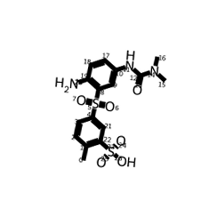 Cc1ccc(S(=O)(=O)c2cc(NC(=O)N(C)C)ccc2N)cc1S(=O)(=O)O